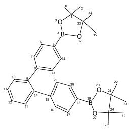 CC1(C)OB(c2ccc(-c3ccccc3-c3ccc(B4OC(C)(C)C(C)(C)O4)cc3)cc2)OC1(C)C